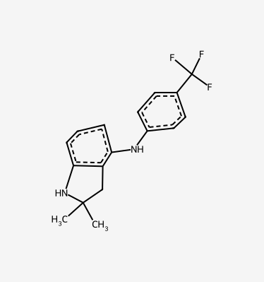 CC1(C)Cc2c(Nc3ccc(C(F)(F)F)cc3)cccc2N1